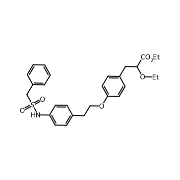 CCOC(=O)C(Cc1ccc(OCCc2ccc(NS(=O)(=O)Cc3ccccc3)cc2)cc1)OCC